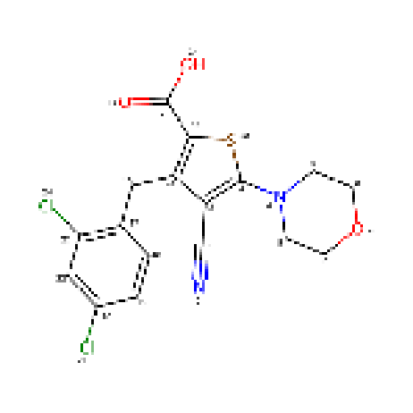 N#Cc1c(N2CCOCC2)sc(C(=O)O)c1Cc1ccc(Cl)cc1Cl